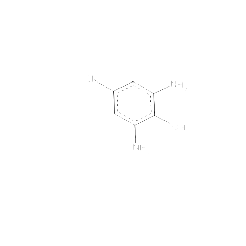 Nc1cc(Cl)cc(N)c1O